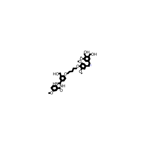 COc1ccc2c(c1)C(=O)NC(c1ccc(OCCCCCOc3c(OC)cc(/C=C\c4cc(CO)c(CO)c(OC)c4)cc3OC)c(CO)c1)N2